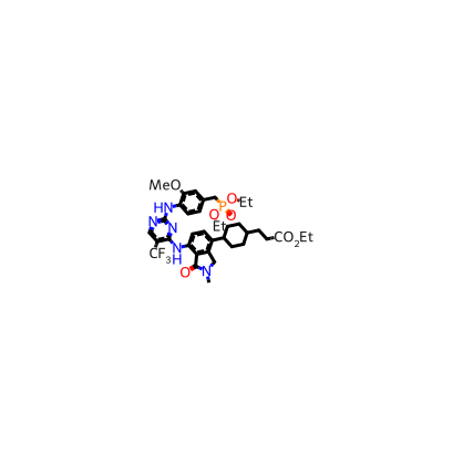 CCOC(=O)CCC1CCC(c2ccc(Nc3nc(Nc4ccc(CP(=O)(OCC)OCC)cc4OC)ncc3C(F)(F)F)c3c2CN(C)C3=O)CC1